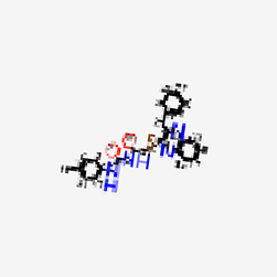 Cc1ccc(NC(=O)NC(=O)CSc2nc3ccccc3nc2Cc2ccccc2)cc1